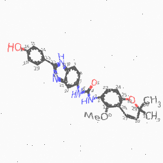 COc1c(NC(=O)Nc2ccc3[nH]c(-c4ccc(O)cc4)nc3c2)ccc2c1C=CC(C)(C)O2